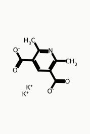 Cc1nc(C)c(C(=O)[O-])cc1C(=O)[O-].[K+].[K+]